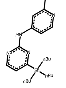 CCC[CH2][Sn]([CH2]CCC)([CH2]CCC)[c]1ccnc(Nc2ccnc(C)c2)n1